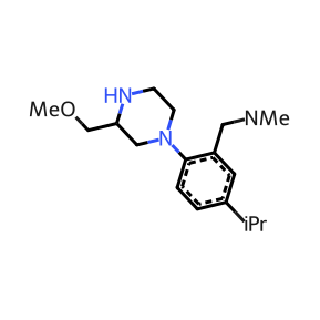 CNCc1cc(C(C)C)ccc1N1CCNC(COC)C1